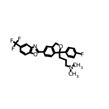 CN(C)CCCC1(c2ccc(F)cc2)OCc2cc(-c3nc4cc(C(F)(F)F)ccc4o3)ccc21